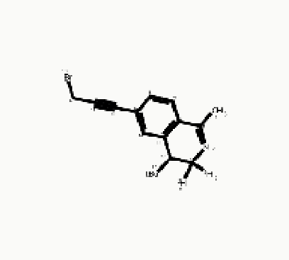 [2H]C1([2H])N=C(C)c2ccc(C#CCBr)cc2C1C(C)(C)C